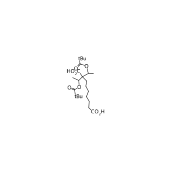 CC(OC(=O)C(C)(C)C)C(CCCCCCC(=O)O)(C(=O)O)C(C)OC(=O)C(C)(C)C